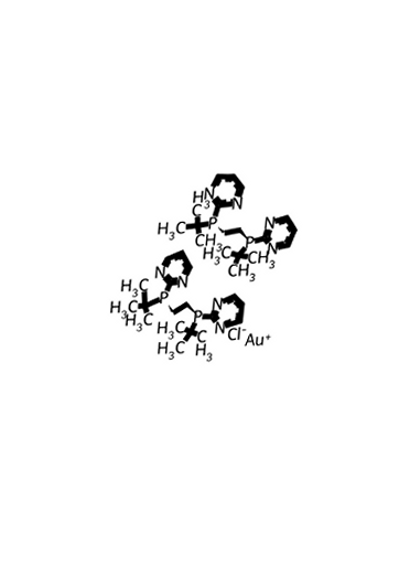 CC(C)(C)[P@@](CC[P@@](c1ncccn1)C(C)(C)C)c1ncccn1.CC(C)(C)[P@@](CC[P@@](c1ncccn1)C(C)(C)C)c1ncccn1.[Au+].[Cl-]